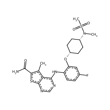 Cc1c(C(N)=O)sc2ncnc(Nc3ccc(F)cc3O[C@H]3CC[C@@H](N(C)S(C)(=O)=O)CC3)c12